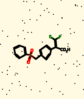 O=C(O)C(=C(F)F)c1ccc(CS(=O)(=O)c2ccccc2)cc1